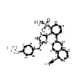 COc1ccc(Cn2nnc(-c3c(-c4ccc5c(C#N)nccc5c4)cccc3S(N)(=O)=O)n2)cc1